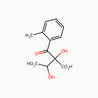 Cc1ccccc1C(=O)C(O)(C(=O)O)C(O)C(=O)O